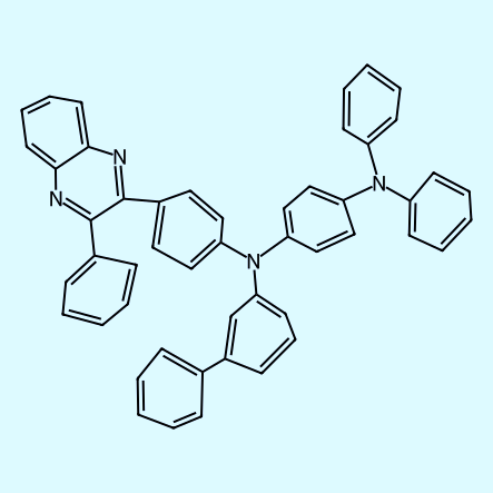 c1ccc(-c2cccc(N(c3ccc(-c4nc5ccccc5nc4-c4ccccc4)cc3)c3ccc(N(c4ccccc4)c4ccccc4)cc3)c2)cc1